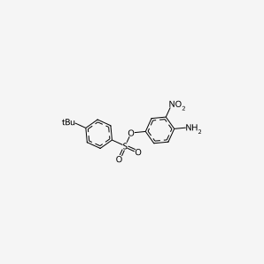 CC(C)(C)c1ccc(S(=O)(=O)Oc2ccc(N)c([N+](=O)[O-])c2)cc1